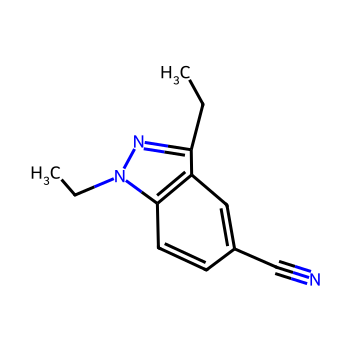 CCc1nn(CC)c2ccc(C#N)cc12